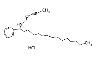 CC#COCNC(CCCCCCCCCCCCCC)c1ccccc1.Cl